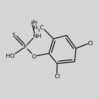 Cc1cc(Cl)cc(Cl)c1OP(O)(=S)NC(C)C